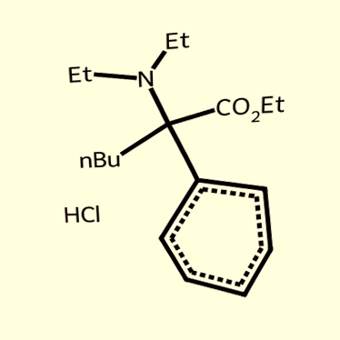 CCCCC(C(=O)OCC)(c1ccccc1)N(CC)CC.Cl